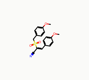 COc1ccc(C=C(C#N)S(=O)(=O)Cc2ccc(OC)cc2)cc1